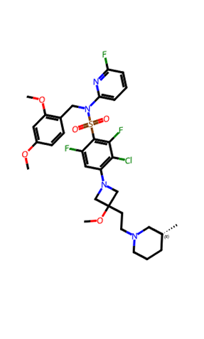 COc1ccc(CN(c2cccc(F)n2)S(=O)(=O)c2c(F)cc(N3CC(CCN4CCC[C@@H](C)C4)(OC)C3)c(Cl)c2F)c(OC)c1